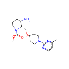 COC(=O)N1CCCC(N)[C@@H]1COC1CCN(c2nccc(C)n2)CC1